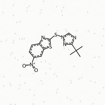 CC(C)(C)c1ncn(Sc2nc3ccc([N+](=O)[O-])cc3s2)n1